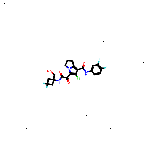 O=C(NC1(CO)CC(F)(F)C1)C(=O)c1c(Cl)c(C(=O)Nc2ccc(F)c(F)c2)c2n1CCC2